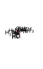 CNC(=N)c1ccc(OCC[C@]2(C(=O)[C@H](N)CC(=O)O)CCCCN2C2CCN(C)CC2)cc1.Cl.Cl.Cl